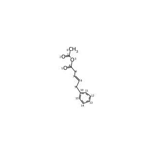 CC(=O)OC(=O)CC=CCc1ccccc1